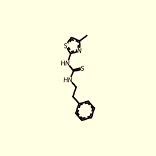 Cc1csc(NC(=S)NCCc2ccccc2)n1